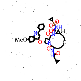 COc1ccc2c(O[C@@H]3CC4C(=O)N[C@]5(C(=O)NS(=O)(=O)C6CC6)C[C@H]5CCCCCCC(NC(=O)CC5CC5)C(=O)N4C3)cc(-c3ccccc3)nc2c1